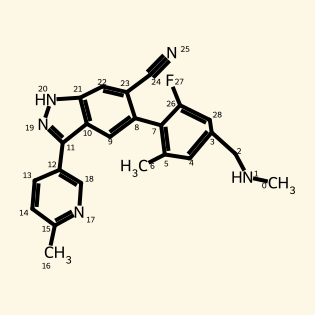 CNCc1cc(C)c(-c2cc3c(-c4ccc(C)nc4)n[nH]c3cc2C#N)c(F)c1